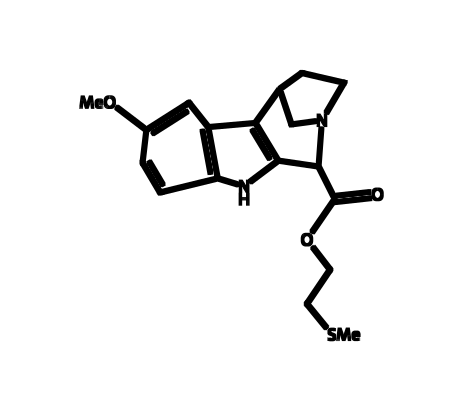 COc1ccc2[nH]c3c(c2c1)C1CCN(C1)C3C(=O)OCCSC